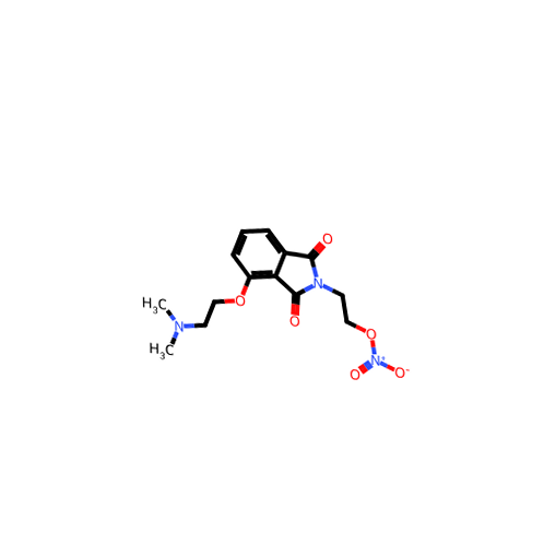 CN(C)CCOc1cccc2c1C(=O)N(CCO[N+](=O)[O-])C2=O